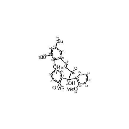 COc1ccccc1C(O)(c1ccccc1OC)C(C)N=Cc1cc(C(C)(C)C)cc(C(C)(C)C)c1O